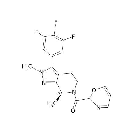 C[C@H]1c2nn(C)c(-c3cc(F)c(F)c(F)c3)c2CCN1C(=O)C1N=CC=CO1